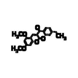 CCc1ccc(C(=O)c2cc3c(OC)cc(OC)cc3oc2=O)cc1